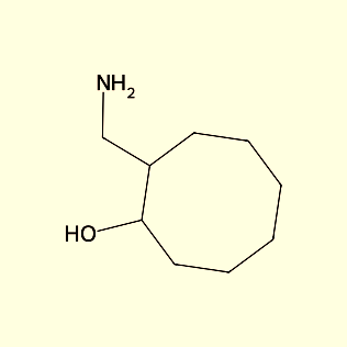 NCC1CCCCCCC1O